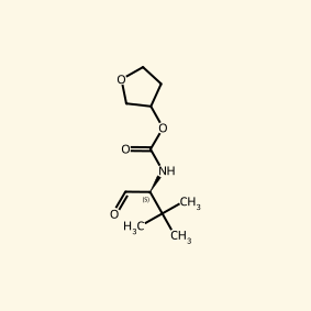 CC(C)(C)[C@@H](C=O)NC(=O)OC1CCOC1